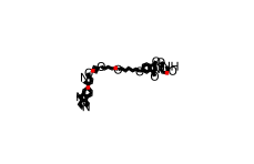 Cn1c2ccncc2c2ccc(-c3ccc(O[C@H]4C[C@H](OCCCCOCCCCCOc5ccc6c(c5)C(=O)N(C5CCC(=O)NC5=O)C6=O)C4)nc3)cc21